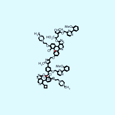 C=C/C(CC(Oc1nsc2cnc(-c3ccc(OCc4cc(-c5ccc(CC(Oc6nsc7cnc(C8CCC8)c(-c8ccc(OCCN9CCN(C)CC9)c(Cl)c8C)c67)C(=O)O)c(OCc6ccnc(-c7ccccc7OC)n6)c5)n(C)n4)cc3)c(-c3ccc(OCCN4CCN(C)CC4)c(Cl)c3C)c12)C(=O)O)=C(\C)OCc1ccnc(-c2ccccc2OC)n1